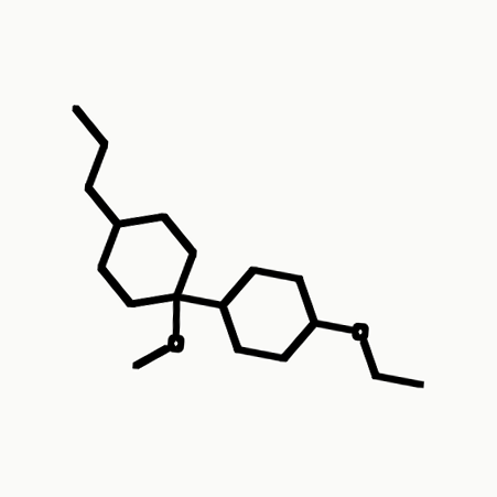 CCCC1CCC(OC)(C2CCC(OCC)CC2)CC1